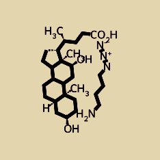 C[C@H](CCC(=O)O)[C@H]1CCC2C3CC[C@@H]4C[C@H](O)CC[C@]4(C)C3C[C@H](O)[C@@]21C.[N-]=[N+]=NCCCCN